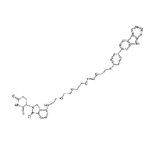 O=C1CCC(N2Cc3c(NCCOCCOCCOCCOCCOc4ccc(-c5ccc6c(c5)[nH]c5ccncc56)cn4)cccc3C2=O)C(=O)N1